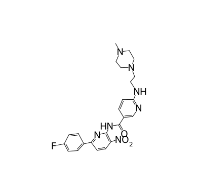 CN1CCN(CCNc2ccc(C(=O)Nc3nc(-c4ccc(F)cc4)ccc3[N+](=O)[O-])cn2)CC1